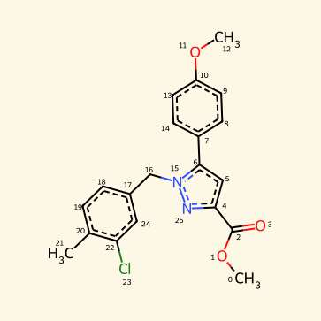 COC(=O)c1cc(-c2ccc(OC)cc2)n(Cc2ccc(C)c(Cl)c2)n1